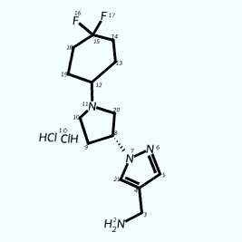 Cl.Cl.NCc1cnn([C@@H]2CCN(C3CCC(F)(F)CC3)C2)c1